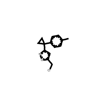 Cc1ccc(C2(c3cc(CCl)on3)CC2)cc1